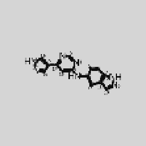 c1nc(Nc2ccc3[nH]ncc3c2)cc(-c2cn[nH]c2)n1